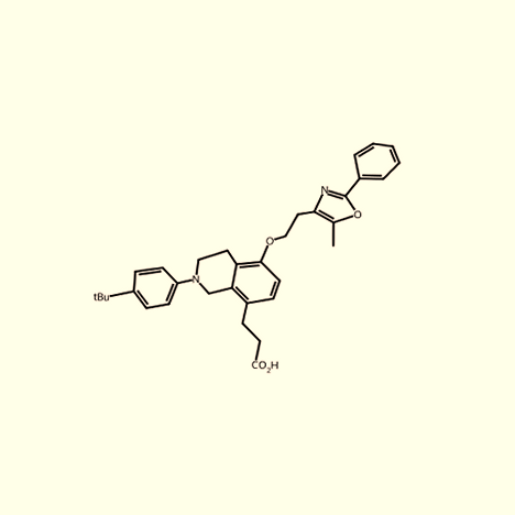 Cc1oc(-c2ccccc2)nc1CCOc1ccc(CCC(=O)O)c2c1CCN(c1ccc(C(C)(C)C)cc1)C2